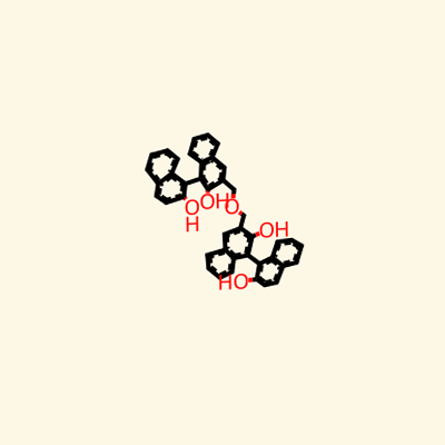 Oc1ccc2ccccc2c1-c1c(O)c(COCc2cc3ccccc3c(-c3c(O)ccc4ccccc34)c2O)cc2ccccc12